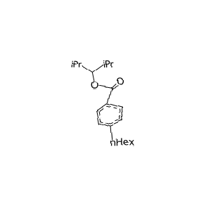 CCCCCCc1ccc(C(=O)OC(C(C)C)C(C)C)cc1